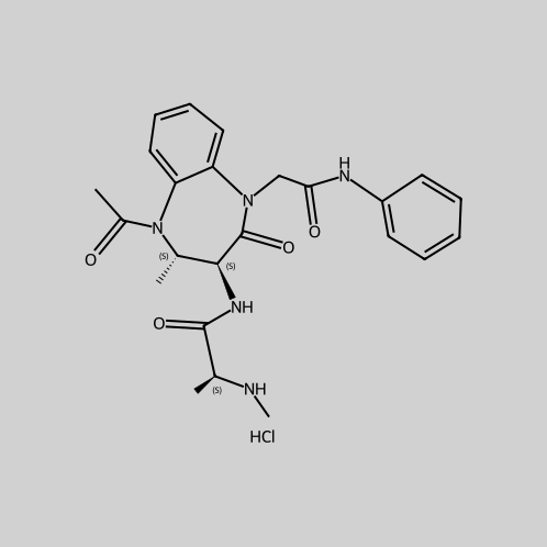 CN[C@@H](C)C(=O)N[C@@H]1C(=O)N(CC(=O)Nc2ccccc2)c2ccccc2N(C(C)=O)[C@H]1C.Cl